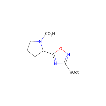 CCCCCCCCc1noc(C2CCCN2C(=O)O)n1